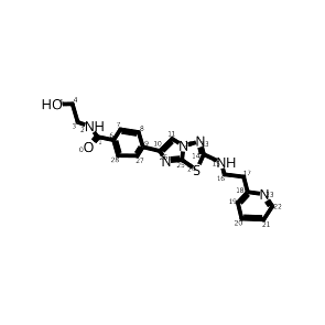 O=C(NCCO)c1ccc(-c2cn3nc(NCCc4ccccn4)sc3n2)cc1